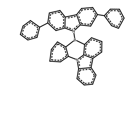 c1ccc(-c2ccc3c4ccc(-c5ccccc5)cc4n(B4c5ccccc5-n5c6ccccc6c6cccc4c65)c3c2)cc1